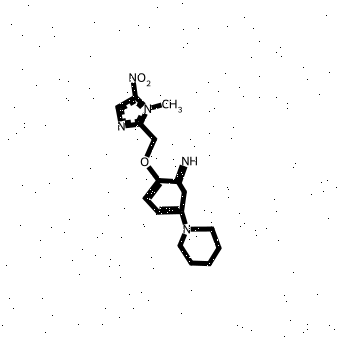 Cn1c([N+](=O)[O-])cnc1COC1=CC=C(N2CCCCC2)CC1=N